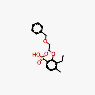 CCc1c(C)ccc(S(=O)(=O)O)c1OCCOCc1ccccc1